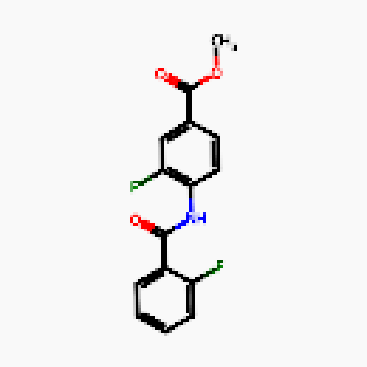 COC(=O)c1ccc(NC(=O)c2ccccc2F)c(F)c1